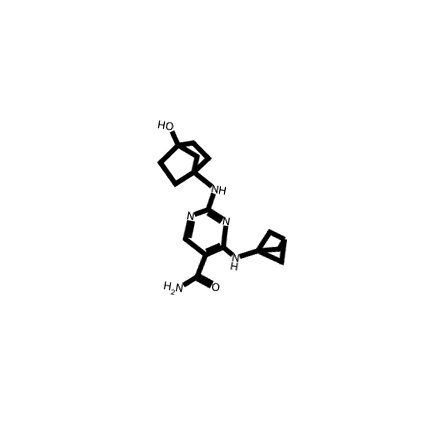 NC(=O)c1cnc(NC23CCC(O)(CC2)C3)nc1NC12CC(C1)C2